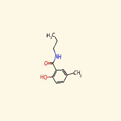 CCCNC(=O)c1cc(C)ccc1O